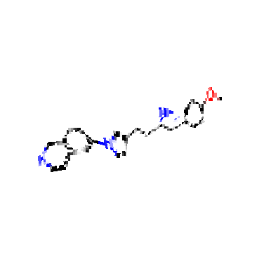 COc1ccc(C[C@H](N)CCc2ccn(-c3ccc4cnccc4c3)c2)cc1